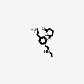 CCNCC.NCCc1ccccc1.O=C1CCCC(=O)O1